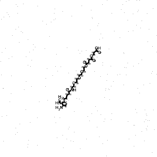 CN[C@@H]1[C@H](N)CS[C@@H]1CCCCC(=O)NCCOCCOCCOCCOC(=O)CCC(=O)OCCC(=O)O